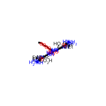 C#CCOCCOCCOCCOCCC(=O)N[C@H](CCC(=O)NCCCCCCNC(=O)O[C@H]1[C@@H]([C@@H](NC(C)=O)C(CC)CC)[C@H](NC(=N)N)C[C@@H]1C(=O)O)C(=O)NCC(=O)NCCCCCCNC(=O)O[C@H]1[C@@H]([C@@H](NC(C)=O)C(CC)CC)[C@H](NC(=N)N)C[C@@H]1C(=O)O